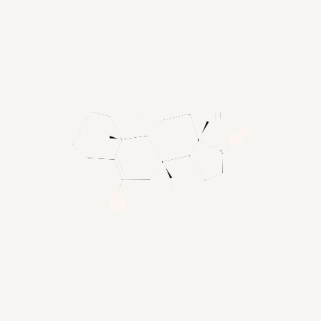 C[C@]12CCCCC1=C(O)C[C@@H]1[C@@H]2CC[C@]2(C)C(=O)CC[C@@H]12